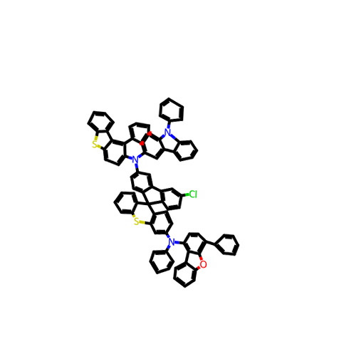 Clc1ccc2c(c1)-c1cc(N(c3ccc4c(c3)c3ccccc3n4-c3ccccc3)c3ccc4sc5ccccc5c4c3-c3ccccc3)ccc1C21c2ccccc2Sc2cc(N(c3ccccc3)c3ccc(-c4ccccc4)c4oc5ccccc5c34)ccc21